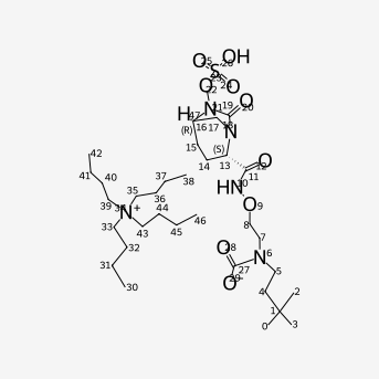 CC(C)(C)CCN(CCONC(=O)[C@@H]1CC[C@@H]2CN1C(=O)N2OS(=O)(=O)O)C(=O)[O-].CCCC[N+](CCCC)(CCCC)CCCC